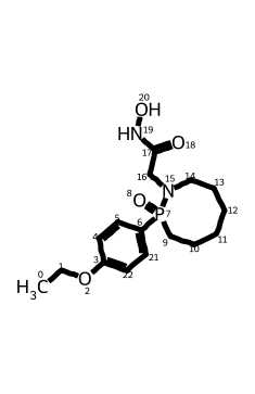 CCOc1ccc(P2(=O)CCCCCCN2CC(=O)NO)cc1